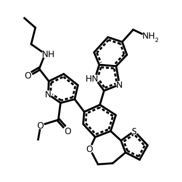 CCCNC(=O)c1ccc(-c2cc3c(cc2-c2nc4cc(CN)ccc4[nH]2)-c2sccc2CCO3)c(C(=O)OC)n1